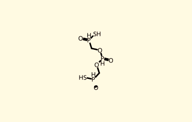 O=[PH](S)CO[PH](=O)OC[PH](=O)S